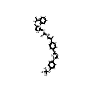 C/C(=C\NC(=O)/N=c1\scc(C)n1-c1ccccc1C(C)C)c1ccc(-c2ncn(-c3ccc(OC(F)(F)F)cc3)n2)cc1